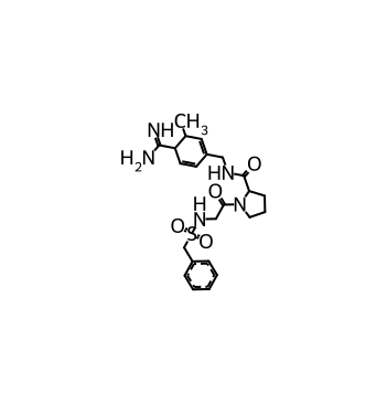 CC1C=C(CNC(=O)C2CCCN2C(=O)CNS(=O)(=O)Cc2ccccc2)C=CC1C(=N)N